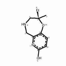 CC[C@]1(C)CNCc2nc(O)ccc2O1